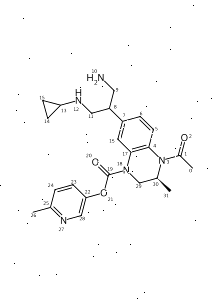 CC(=O)N1c2ccc(C(CN)CNC3CC3)cc2N(C(=O)Oc2ccc(C)nc2)C[C@@H]1C